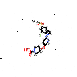 CS(=O)(=O)c1cc(F)c2c(ccn2-c2ccc(OC3CCN(C(=O)O)CC3)cn2)c1